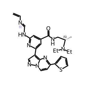 C=C/N=C/Nc1cc(C(=O)NC[C@H](C)N(CC)CC)cc(-c2cnn3ccc(-c4cccs4)nc23)n1